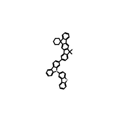 CC1(C)c2ccc(-c3ccc4c5ccccc5n(-c5ccc6oc7ccccc7c6c5)c4c3)cc2-c2cc3c(cc21)-c1ccccc1C31CCCCC1